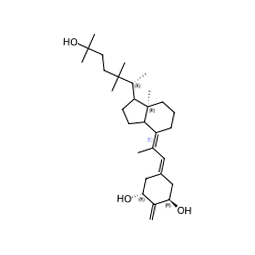 C=C1[C@H](O)CC(=C/C(C)=C2\CCC[C@@]3(C)C2CCC3[C@@H](C)C(C)(C)CCC(C)(C)O)C[C@H]1O